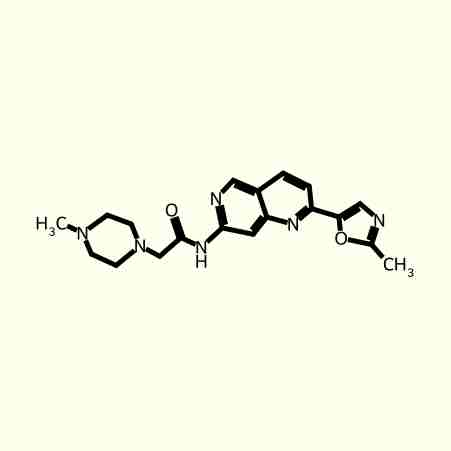 Cc1ncc(-c2ccc3cnc(NC(=O)CN4CCN(C)CC4)cc3n2)o1